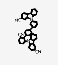 N#Cc1ccc2c(c1)c1ccccc1n2-c1cccc(C#N)c1-c1ccc(-c2cccc(-n3c4ccccc4c4ccc(C#N)cc43)c2)cc1